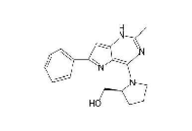 Cc1nc(N2CCC[C@H]2CO)c2nc(-c3ccccc3)cc-2[nH]1